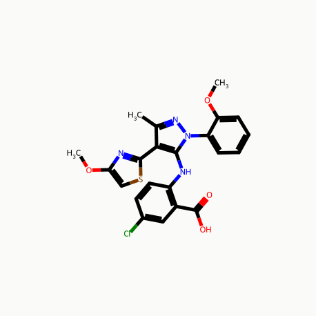 COc1csc(-c2c(C)nn(-c3ccccc3OC)c2Nc2ccc(Cl)cc2C(=O)O)n1